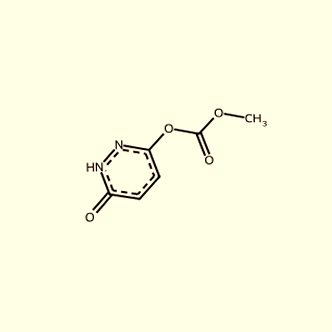 COC(=O)Oc1ccc(=O)[nH]n1